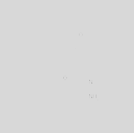 NN1CCC(C(=O)c2ccccc2)C1=O